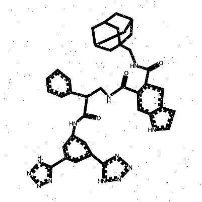 O=C(NCC(C(=O)Nc1cc(-c2nnn[nH]2)cc(-c2nnn[nH]2)c1)c1ccccc1)c1cc2[nH]ccc2cc1C(=O)NCC12CC3CC(CC(C3)C1)C2